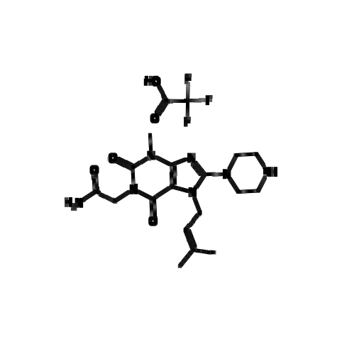 CC(C)=CCn1c(N2CCNCC2)nc2c1c(=O)n(CC(N)=O)c(=O)n2C.O=C(O)C(F)(F)F